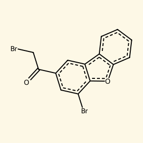 O=C(CBr)c1cc(Br)c2oc3ccccc3c2c1